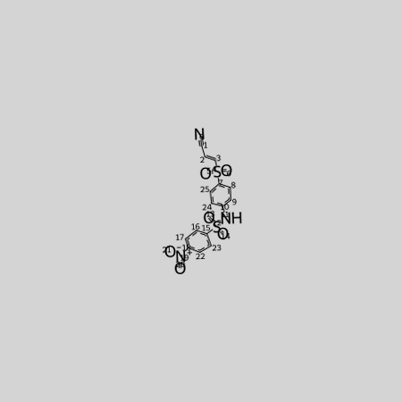 N#C/C=C/S(=O)(=O)c1ccc(NS(=O)(=O)c2ccc([N+](=O)[O-])cc2)cc1